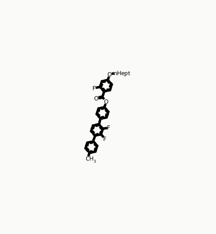 CCCCCCCOc1ccc(C(=O)Oc2ccc(-c3ccc(-c4ccc(C)cc4)c(F)c3F)cc2)c(F)c1